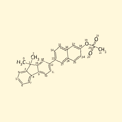 CC1(C)c2ccccc2-c2ccc(-c3ccc4cc(OS(C)(=O)=O)ccc4c3)cc21